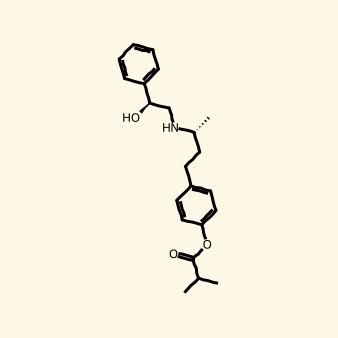 CC(C)C(=O)Oc1ccc(CC[C@@H](C)NC[C@@H](O)c2ccccc2)cc1